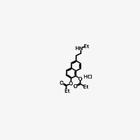 CCNCCc1ccc2c(OC(=O)CC)c(OC(=O)CC)ccc2c1.Cl